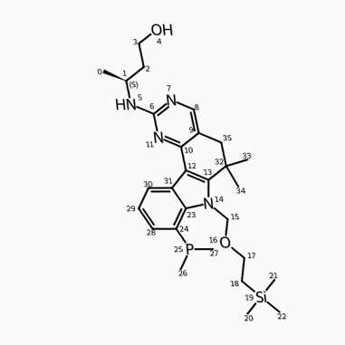 C[C@@H](CCO)Nc1ncc2c(n1)-c1c(n(COCC[Si](C)(C)C)c3c(P(C)C)cccc13)C(C)(C)C2